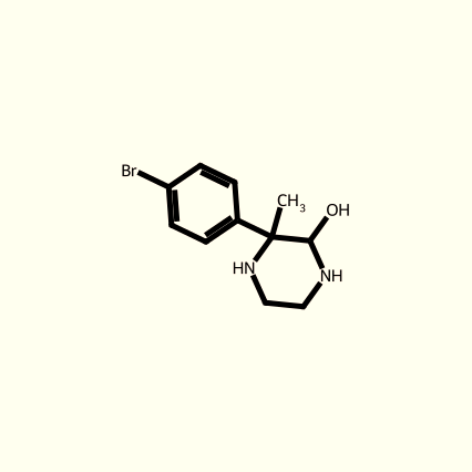 CC1(c2ccc(Br)cc2)NCCNC1O